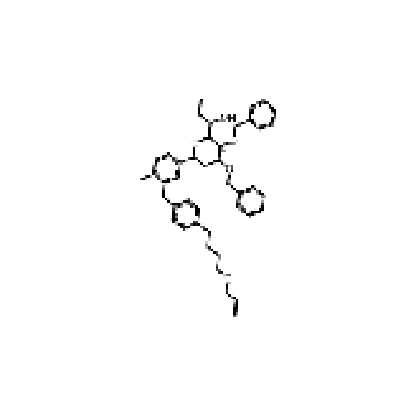 C=CCOCCCCc1ccc(Cc2cc(C3CC(OCc4ccccc4)[C@H](OCc4ccccc4)C(C(O)CC)O3)ccc2C)cc1